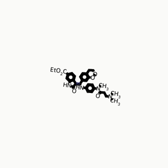 CCOC(=O)c1ccc2c(c1)NC(=O)/C2=C(\Nc1ccc(N(C)C(=O)CCN(C)C)cc1)c1ccc2c(c1)OOCC2